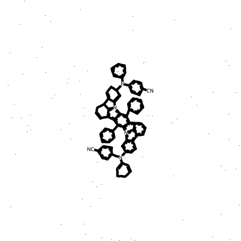 N#Cc1ccc(N(C2=CCCC=C2)c2ccc3c4cccc5c6c(-c7ccccc7)c7c(c8c9n7C7=CC(N(c%10ccccc%10)c%10ccc(C#N)cc%10)CC=C7C9CC=C8)c(-c7ccccc7)c6n(c3c2)c45)cc1